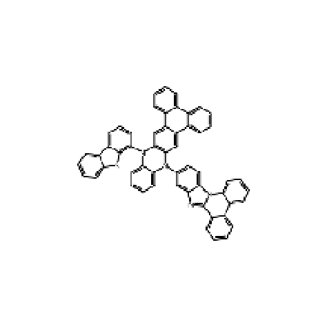 c1ccc2c(c1)N(c1ccc3c(c1)nc1c4ccccc4c4ccccc4n31)c1cc3c4ccccc4c4ccccc4c3cc1N2c1cccc2c1sc1ccccc12